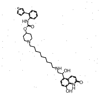 O=C(Nc1ccccc1-c1ccsc1)OC1CCN(CCCCCCCCCNC[C@@H](O)c2ccc(O)c3[nH]c(=O)ccc23)CC1